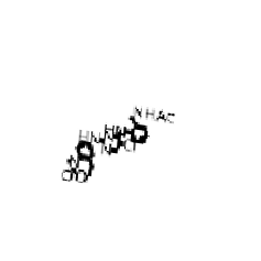 CC(=O)NCc1ccccc1Nc1nc(Nc2ccc3c(c2)CCOC(=O)N3C)ncc1Cl